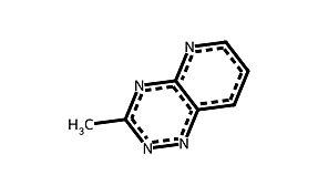 Cc1nnc2cccnc2n1